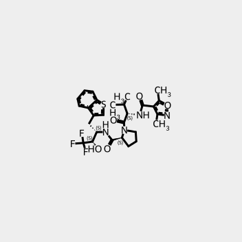 Cc1noc(C)c1C(=O)N[C@H](C(=O)N1CCC[C@H]1C(=O)N[C@@H](Cc1csc2ccccc12)[C@H](O)C(F)(F)F)C(C)C